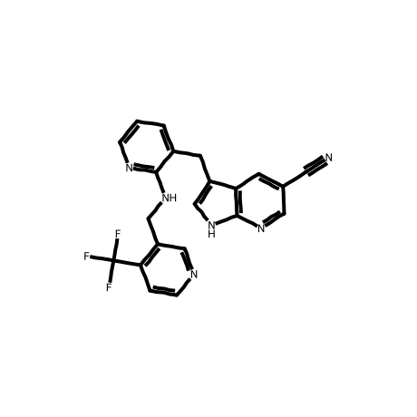 N#Cc1cnc2[nH]cc(Cc3cccnc3NCc3cnccc3C(F)(F)F)c2c1